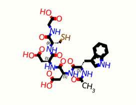 CC(=O)N[C@@H](Cc1c[nH]c2ccccc12)C(=O)N[C@@H](CC(=O)O)C(=O)N[C@@H](CC(=O)O)C(=O)N[C@@H](CS)C(=O)NCC(=O)O